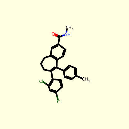 CNC(=O)c1ccc2c(c1)CCCC(c1ccc(Cl)cc1Cl)=C2c1ccc(C)cc1